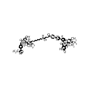 Cc1ncsc1-c1ccc(CNC(=O)[C@@H]2C[C@@H](O)CN2C(=O)C(NC(=O)CCCCCCCCNC(=O)CCC(=O)N2CCN(c3ncc(-c4cc(NC(=O)c5c[nH]c(=O)cc5C(F)(F)F)c(N5C[C@@H](C)N(C)[C@@H](C)C5)cc4F)cn3)CC2)C(C)(C)C)cc1